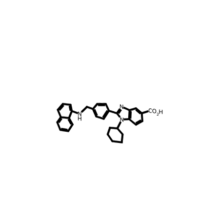 O=C(O)c1ccc2c(c1)nc(-c1ccc(CNc3cccc4ccccc34)cc1)n2C1CCCCC1